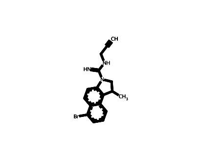 C#CCNC(=N)N1CC(C)c2c1ccc1c(Br)cccc21